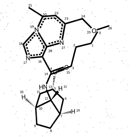 CCCCO[C@@H]1C[C@H]2CC[C@@H](C1)[C@@H]2NC(=O)c1ncn2c(C)cc(COC)nc12